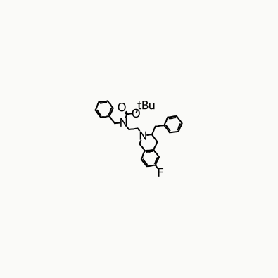 CC(C)(C)OC(=O)N(CCN1Cc2ccc(F)cc2CC1Cc1ccccc1)Cc1ccccc1